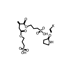 C=C(CC(=O)OCCCS(=O)(=O)O)C(=O)OCCCS(=O)(=O)O.C=[CH][K].O=C1CCCN1